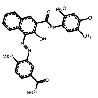 CNC(=O)c1ccc(OC)c(/N=N/c2c(O)c(C(=O)Nc3cc(C)c(Cl)cc3OC)cc3ccccc23)c1